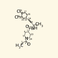 C=CC(=O)N1CCC(C(=O)NC(C)C#Cc2ccc(Cl)c(Cl)c2)CC1